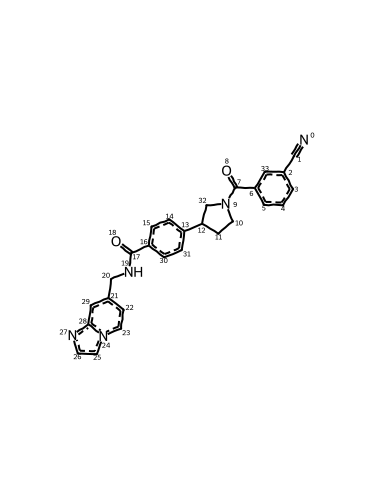 N#Cc1cccc(C(=O)N2CCC(c3ccc(C(=O)NCc4ccn5ccnc5c4)cc3)C2)c1